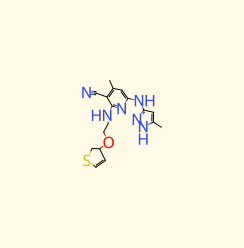 Cc1cc(Nc2cc(C)c(C#N)c(NCCOC3C=CSC3)n2)n[nH]1